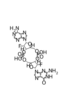 Nc1nc2c(ncn2[C@@H]2O[C@@H]3COP(=O)(O)O[C@H]4[C@@H](F)[C@H](n5cnc6c(N)ncnc65)O[C@@H]4COP(=O)(O)O[C@H]3[C@H]2F)c(=O)[nH]1